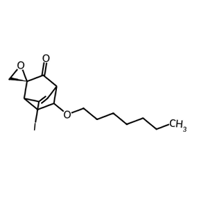 CCCCCCCOC1CC2C(I)=CC1C(=O)[C@]21CO1